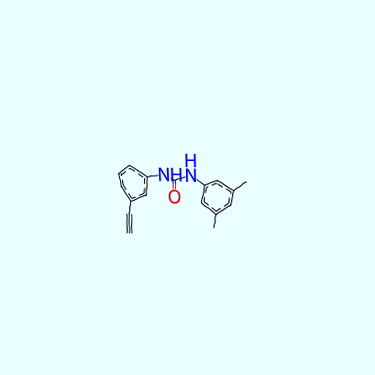 C#Cc1cccc(NC(=O)Nc2cc(C)cc(C)c2)c1